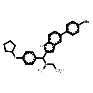 CN(CC(=O)O)C(c1ccc(OC2CCCC2)cc1)c1cc2cc(-c3ccc(C(C)(C)C)cc3)ccc2[nH]1